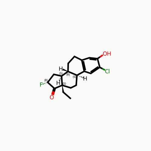 CC[C@]12CC[C@@H]3c4cc(Cl)c(O)cc4CC[C@H]3[C@@H]1C[C@@H](F)C2=O